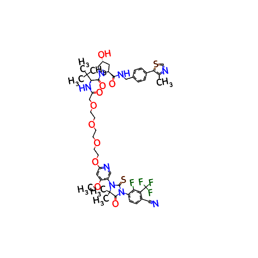 COc1cc(OCCOCCOCCOCC(=O)N[C@H](C(=O)N2C[C@H](O)C[C@H]2C(=O)NCc2ccc(-c3scnc3C)cc2)C(C)(C)C)ncc1N1C(=S)N(c2ccc(C#N)c(C(F)(F)F)c2F)C(=O)C1(C)C